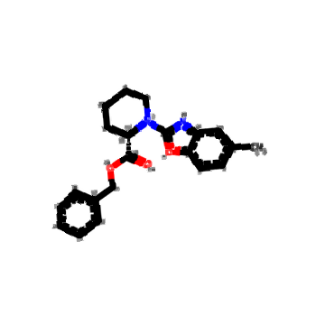 Cc1ccc2oc(N3CCCC[C@H]3C(=O)OCc3ccccc3)nc2c1